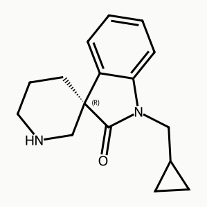 O=C1N(CC2CC2)c2ccccc2[C@@]12CCCNC2